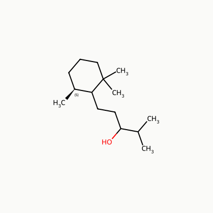 CC(C)C(O)CCC1[C@@H](C)CCCC1(C)C